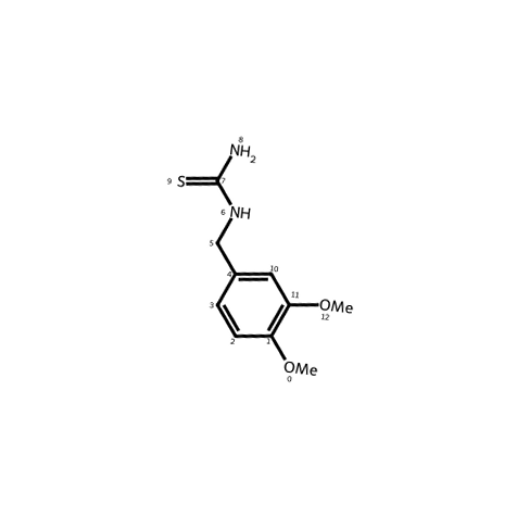 COc1ccc(CNC(N)=S)cc1OC